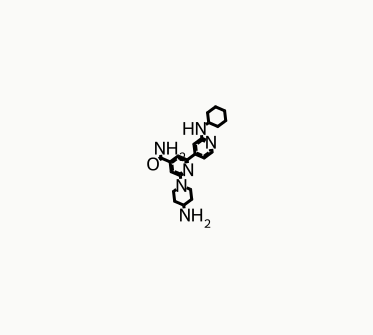 NC(=O)c1cc(-c2ccnc(NC3CCCCC3)c2)nc(N2CCC(N)CC2)c1